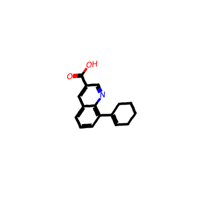 O=C(O)c1cnc2c(C3=CCCCC3)cccc2c1